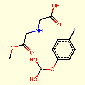 COC(=O)CNCC(=O)O.OB(O)Oc1ccc(I)cc1